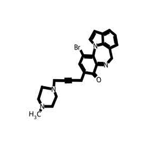 CN1CCN(CC#CCC2=CC(Br)=C3C(=NCc4cccc5ccn3c45)C2=O)CC1